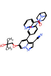 CC(C)(O)COc1cc(-c2ccc(N3CC4CC(C3)N4C(=O)c3cccnc3)nc2)c2c(C#N)cnn2c1